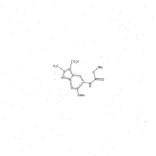 COc1cn2nc(C)c(C(=O)O)c2cc1NC(=O)OC(C)(C)C